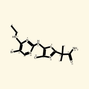 CCNc1nc(Nc2sc(C(C)(C)C(N)=O)nc2Cl)ncc1Br